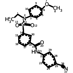 CCN(c1ccc(OC)cc1)S(=O)(=O)c1cccc(C(=O)Nc2ccc(C#N)cc2)c1